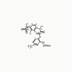 CCCCCCOc1nc(C(F)(F)F)ccc1CNC(=O)C(C)c1ccc(N(C)[SH](=O)=O)c(C)c1